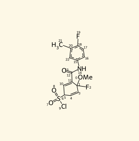 COC1(F)C=CC(S(=O)(=O)Cl)C=C1C(=O)Nc1ccc(F)c(C)c1